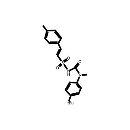 Cc1ccc(C=CS(=O)(=O)NC(=O)N(C)c2ccc(C(C)(C)C)cc2)cc1